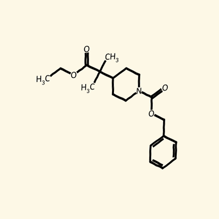 CCOC(=O)C(C)(C)C1CCN(C(=O)OCc2ccccc2)CC1